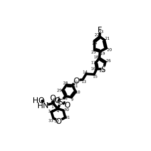 O=C(NO)C1(S(=O)(=O)c2ccc(OCCCc3cc(-c4ccc(F)cc4)cs3)cc2)CCOCC1